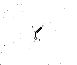 CC=O.[P]